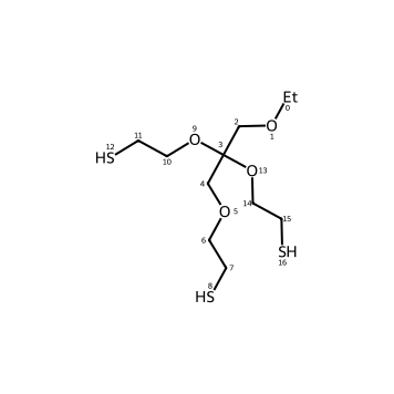 CCOCC(COCCS)(OCCS)OCCS